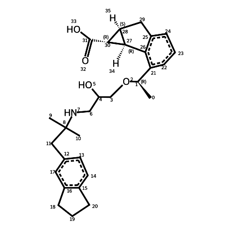 C[C@@H](OCC(O)CNC(C)(C)Cc1ccc2c(c1)CCC2)c1cccc2c1[C@@H]1[C@H](C2)[C@H]1C(=O)O